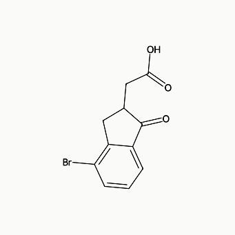 O=C(O)CC1Cc2c(Br)cccc2C1=O